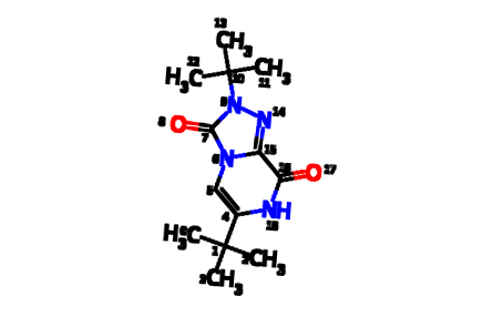 CC(C)(C)c1cn2c(=O)n(C(C)(C)C)nc2c(=O)[nH]1